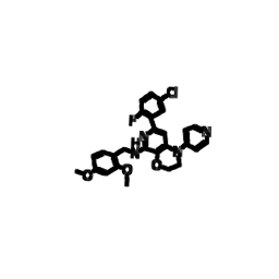 COc1ccc(CNc2nc(-c3cc(Cl)ccc3F)cc3c2OCCN3c2ccncc2)c(OC)c1